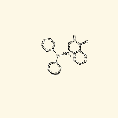 O=[N+]([O-])N(c1ccccc1)c1ccccc1.O=c1[nH]ccc2ccccc12